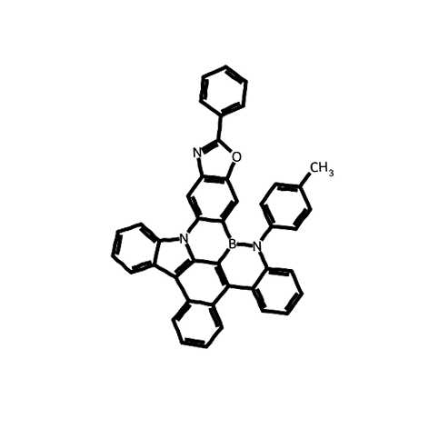 Cc1ccc(N2B3c4cc5oc(-c6ccccc6)nc5cc4-n4c5ccccc5c5c6ccccc6c(c3c54)-c3ccccc32)cc1